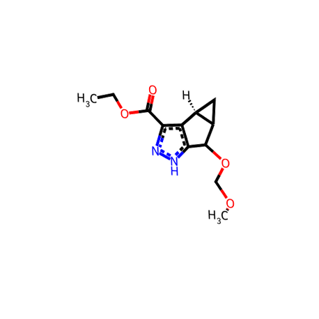 CCOC(=O)c1n[nH]c2c1[C@H]1CC1C2OCOC